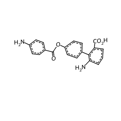 Nc1ccc(C(=O)Oc2ccc(-c3c(N)cccc3C(=O)O)cc2)cc1